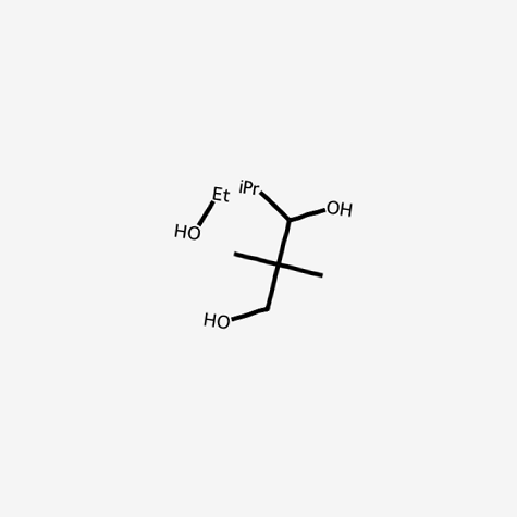 CC(C)C(O)C(C)(C)CO.CCO